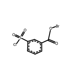 O=C(OBr)c1cccc(S(=O)(=O)Cl)c1